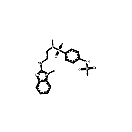 CN(CCNc1nc2ccccc2n1C)S(=O)(=O)c1ccc(NS(C)(=O)=O)cc1